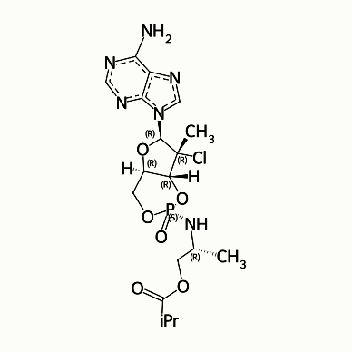 CC(C)C(=O)OC[C@@H](C)N[P@]1(=O)OC[C@H]2O[C@@H](n3cnc4c(N)ncnc43)[C@](C)(Cl)[C@@H]2O1